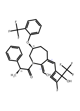 C/C=C1\C(=C/C2=C=C(F)C2(O)C(F)(F)F)CC[C@H](Oc2ccccc2C(F)(F)F)CN1C(=O)[C@@H](C)c1ccccc1